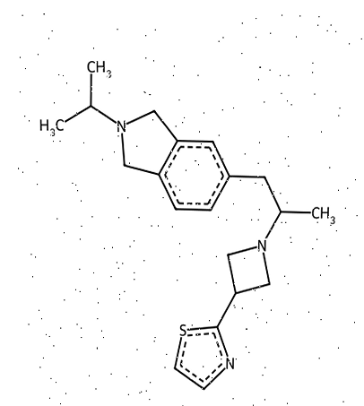 CC(C)N1Cc2ccc(CC(C)N3CC(c4nccs4)C3)cc2C1